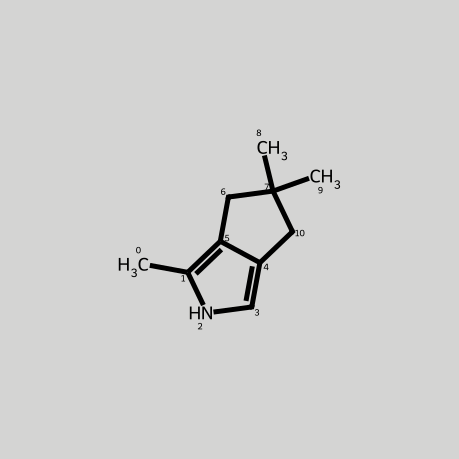 Cc1[nH]cc2c1CC(C)(C)C2